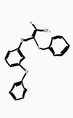 F/C(=C(\Oc1cccc(Oc2ccccc2)c1)Sc1ccccc1)C(F)(F)F